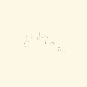 CC(C)(NC[C@H](O)c1cncc(F)c1)C1CCC(OCC(=O)O)CC1